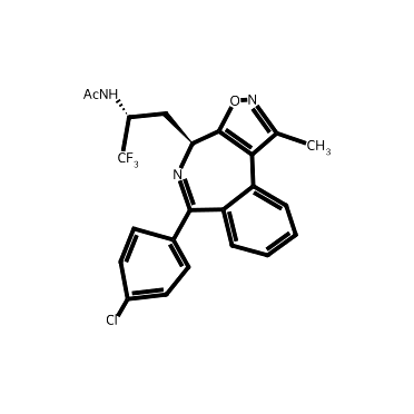 CC(=O)N[C@H](C[C@@H]1N=C(c2ccc(Cl)cc2)c2ccccc2-c2c(C)noc21)C(F)(F)F